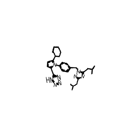 CC(C)Cc1nc(CC(C)C)n(Cc2ccc(-n3c(-c4nnn[nH]4)ccc3C3CCCCC3)cc2)n1